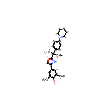 COc1cc(-c2coc(C(C=O)(OC)c3ccc(N4CCCCC4)cc3)n2)cc(OC)c1Br